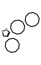 C1=CSSC1.C1CCCCCCCCC1.C1CCCCCCCCC1.C1CCCCCCCCC1